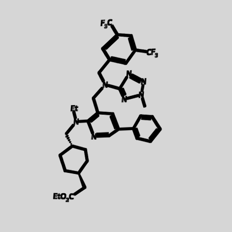 CCOC(=O)C[C@H]1CC[C@H](CN(CC)c2ncc(-c3ccccc3)cc2CN(Cc2cc(C(F)(F)F)cc(C(F)(F)F)c2)c2nnn(C)n2)CC1